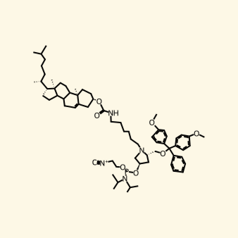 [C-]#[N+]CCOP(O[C@@H]1C[C@@H](COC(c2ccccc2)(c2ccc(OC)cc2)c2ccc(OC)cc2)N(CCCCCCNC(=O)O[C@H]2CC[C@@]3(C)C(=CCC4C3CC[C@@]3(C)C4CC[C@@H]3[C@H](C)CCCC(C)C)C2)C1)N(C(C)C)C(C)C